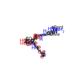 CCCCCNc1nc(N)nc2ccn(Cc3ccc(CNCCNCCOP(=O)(O)OCc4ccc(O[C@@H]5O[C@H](C(=O)O)[C@@H](O)[C@H](O)[C@H]5O)c(NC(=O)CCNC(=O)CCOCCN5C(=O)C=CC5=O)c4)cc3OC)c12